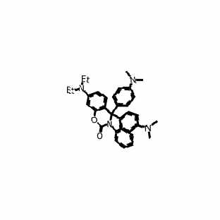 CCN(CC)c1ccc2c(c1)OC(=O)N(c1ccccc1)C2(c1ccc(N(C)C)cc1)c1ccc(N(C)C)cc1